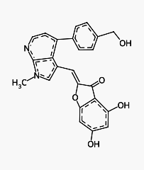 Cn1cc(C=C2Oc3cc(O)cc(O)c3C2=O)c2c(-c3ccc(CO)cc3)ccnc21